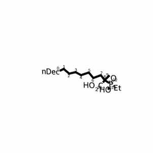 CCCCCCCCCCCCCCCCCC(C)(C(=O)O)P(=O)(O)CC